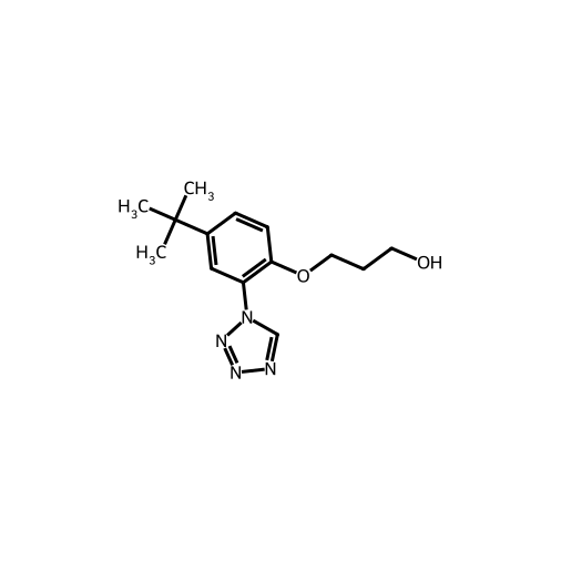 CC(C)(C)c1ccc(OCCCO)c(-n2cnnn2)c1